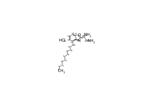 CCCCCCCCCCCc1cccc2oc(C(N)CN)nc12.Cl